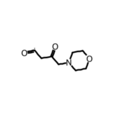 O=[C]CC(=O)CN1CCOCC1